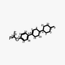 CC1CCC(C2CC=C(c3ccc(OC(F)F)cc3)CC2)CC1